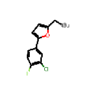 CC(C)(C)Cc1ccc(-c2ccc(F)c(Cl)c2)o1